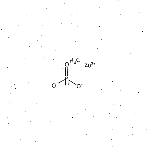 C.O=[PH]([O-])[O-].[Zn+2]